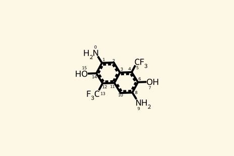 Nc1cc2c(C(F)(F)F)c(O)c(N)cc2c(C(F)(F)F)c1O